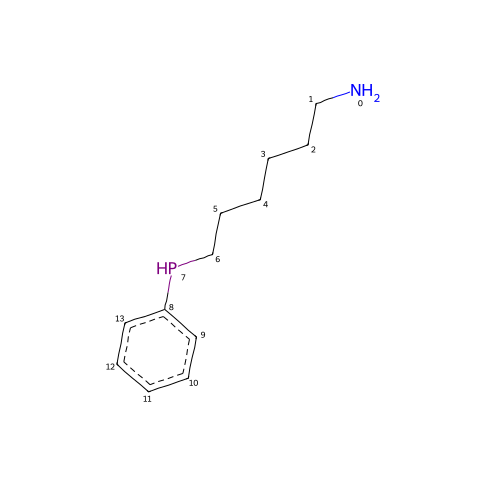 NCCCCCCPc1ccccc1